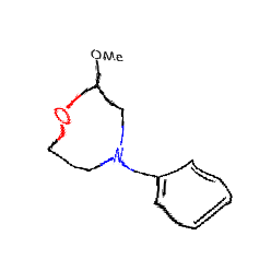 COC1CN(c2ccccc2)CCO1